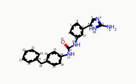 Nc1ncc(-c2cccc(NC(=O)Nc3ccc(Cc4ccccc4)cc3)c2)[nH]1